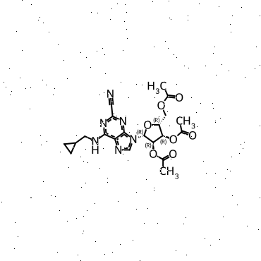 CC(=O)OC[C@H]1O[C@@H](n2cnc3c(NCC4CC4)nc(C#N)nc32)[C@H](OC(C)=O)[C@@H]1OC(C)=O